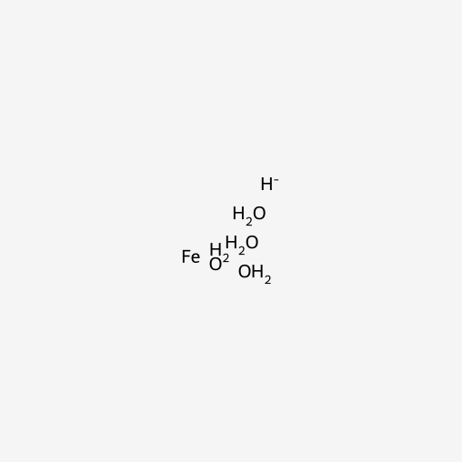 O.O.O.O.[Fe].[H-]